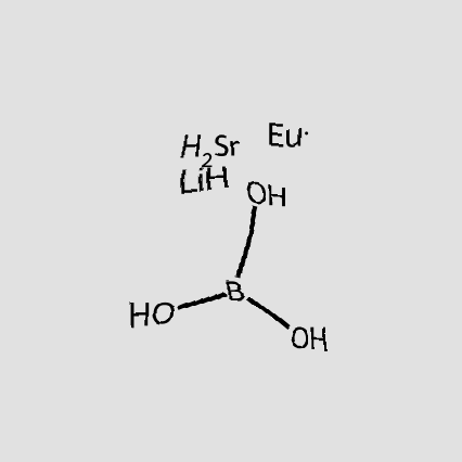 OB(O)O.[Eu].[LiH].[SrH2]